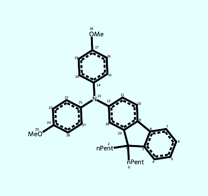 CCCCCC1(CCCCC)c2ccccc2-c2ccc(N(c3ccc(OC)cc3)c3ccc(OC)cc3)cc21